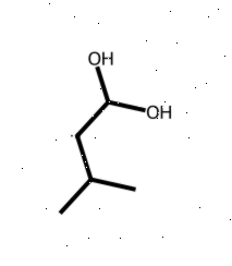 CC(C)[CH]C(O)O